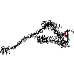 CCCC(=O)NCCOCCOCCOCCOCCOCCOCCOCCOCCC(=O)N[C@H](C(=O)N[C@@H](C)C(=O)Nc1ccc(COC(=O)N2c3cc(OCCCCCOc4cc5c(cc4OC)C(=O)N4C=C(C)C[C@H]4C=N5)c(OC)cc3C(=O)CCC3C=C(C)C[C@H](C3)[C@@H]2O)cc1)C(C)C